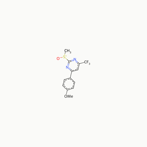 COc1ccc(-c2cc(C(F)(F)F)nc([S+](C)[O-])n2)cc1